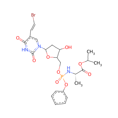 CC(C)OC(=O)[C@H](C)NP(=O)(OCC1OC(n2cc(/C=C/Br)c(=O)[nH]c2=O)CC1O)Oc1ccccc1